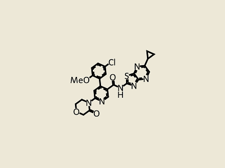 COc1ccc(Cl)cc1-c1cc(N2CCOCC2=O)ncc1C(=O)Nc1nc2ncc(C3CC3)nc2s1